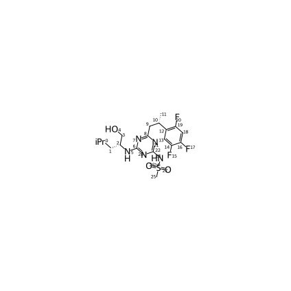 CC(C)C[C@H](CO)Nc1nc(C[C@H](C)c2cc(F)c(F)cc2F)nc(NS(C)(=O)=O)n1